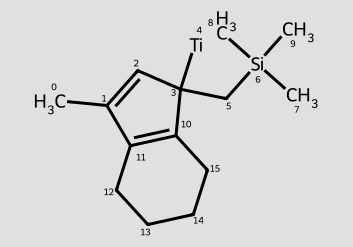 CC1=C[C]([Ti])(C[Si](C)(C)C)C2=C1CCCC2